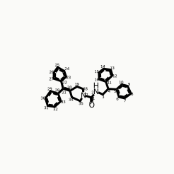 O=C(NCC(c1ccccc1)c1ccccc1)N1CCC(=C(c2ccccc2)c2ccccc2)CC1